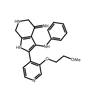 COCCOc1cnccc1-c1[nH]c2c(c1Nc1ccccc1)C(=N)CNC2